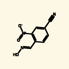 N#Cc1ccc(C=NO)c([N+](=O)[O-])c1